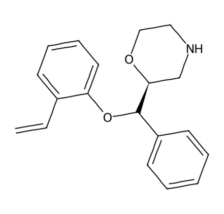 C=Cc1ccccc1OC(c1ccccc1)[C@@H]1CNCCO1